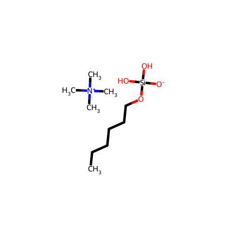 CCCCCCO[Si]([O-])(O)O.C[N+](C)(C)C